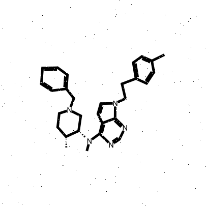 Cc1ccc(CCn2ccc3c(N(C)[C@H]4CN(Cc5ccccc5)CC[C@H]4C)ncnc32)cc1